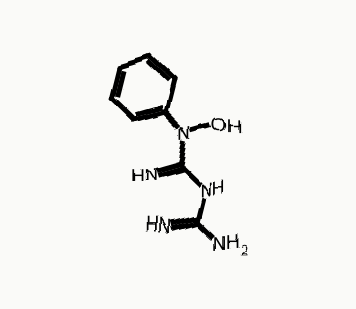 N=C(N)NC(=N)N(O)c1ccccc1